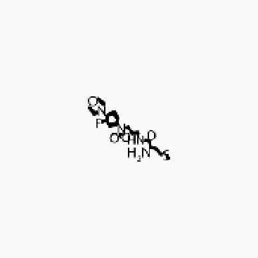 CSCC[C@@H](N)C(=O)NCC1CN(c2ccc(N3CCOCC3)c(F)c2)C(=O)O1